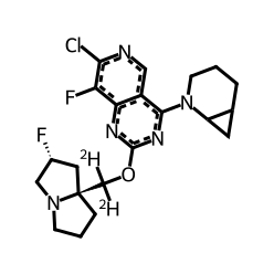 [2H]C([2H])(Oc1nc(N2CCCC3CC32)c2cnc(Cl)c(F)c2n1)[C@@]12CCCN1C[C@H](F)C2